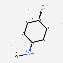 CC[C@H]1CC[C@@H](NC(C)C)CC1